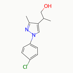 Cc1nn(-c2ccc(Cl)cc2)cc1C(C)CO